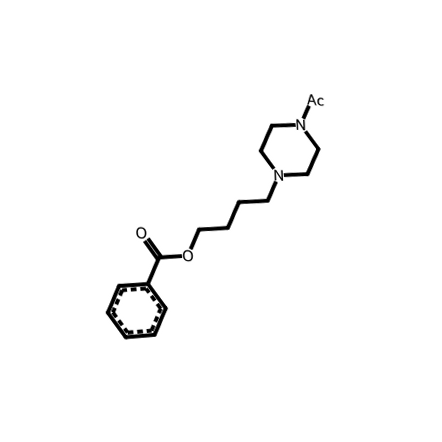 CC(=O)N1CCN(CCCCOC(=O)c2ccccc2)CC1